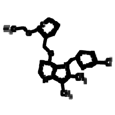 CCOc1ccccc1COc1ccnc2c(C)c(C)n(Cc3ccc(Cl)cc3)c12